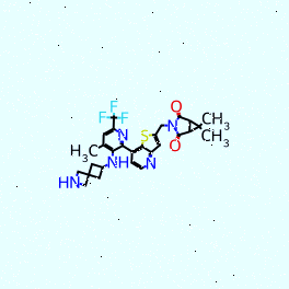 Cc1cc(C(F)(F)F)nc(-c2ccnc3cc(CN4C(=O)C5C(C4=O)C5(C)C)sc23)c1NC1CC2(CNC2)C1